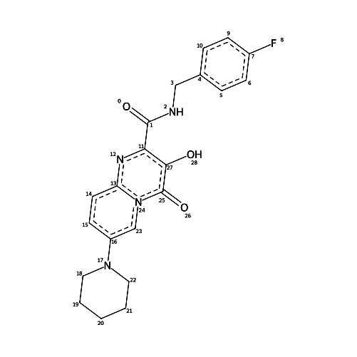 O=C(NCc1ccc(F)cc1)c1nc2ccc(N3CCCCC3)cn2c(=O)c1O